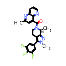 Cc1cc(C(=O)N2CCc3c(nn(C)c3-c3cc(F)c(F)c(F)c3)[C@@H]2C)c2ncccc2n1